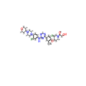 N#Cc1cc(-c2ncnc(Nc3ccc(N4CCN(C5CCOCC5)CC4)c(F)c3)n2)ccc1OC1CCN(C(=O)CO)CC1F